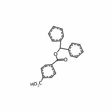 O=C(O)c1ccc(C(=O)OC(c2ccccc2)c2ccccc2)cc1